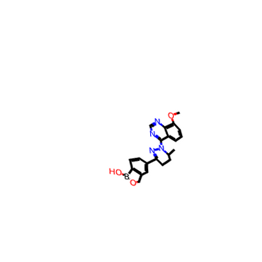 COc1cccc2c(N3N=C(c4ccc5c(c4)COB5O)CCC3C)ncnc12